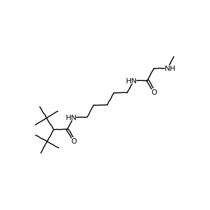 CNCC(=O)NCCCCCNC(=O)C(C(C)(C)C)C(C)(C)C